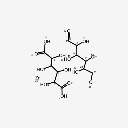 O=C(O)C(O)C(O)C(O)C(O)C(=O)O.O=CC(O)C(O)C(O)C(O)CO.[Zn]